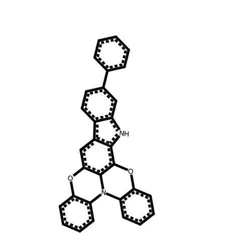 c1ccc(-c2ccc3c(c2)[nH]c2c4c5c(cc23)Oc2ccccc2N5c2ccccc2O4)cc1